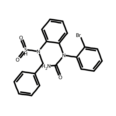 NC(=O)N(c1ccccc1Br)c1ccccc1N(Cc1ccccc1)[SH](=O)=O